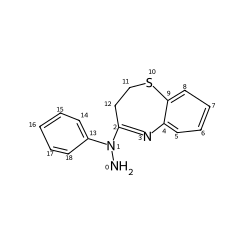 NN(C1=Nc2ccccc2SCC1)c1ccccc1